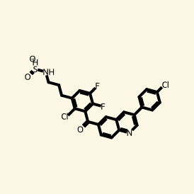 O=C(c1ccc2ncc(-c3ccc(Cl)cc3)cc2c1)c1c(F)c(F)cc(CCCN[SH](=O)=O)c1Cl